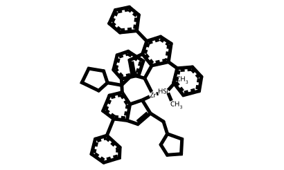 C[SiH](C)[Zr]([CH]1C(CC2CCCC2)=Cc2c(-c3ccccc3)ccc(-c3ccccc3)c21)[CH]1C(CC2CCCC2)=Cc2c(-c3ccccc3)ccc(-c3ccccc3)c21